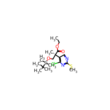 CCOC(=O)[C@](C)(CO[Si](C)(C)C(C)(C)C)c1cnc(SC)nc1Cl